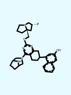 Oc1cc(C2CCc3c(nc(OC[C@@]45CCCN4C[C@H](F)C5)nc3N3CC4CCC(C3)N4)C2)c2ccccc2c1